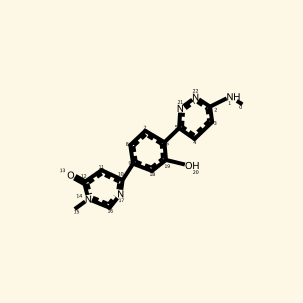 CNc1ccc(-c2ccc(-c3cc(=O)n(C)cn3)cc2O)nn1